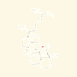 CC(C)CCC[C@@H](C)[C@H]1CC[C@H]2[C@@H]3CCC4CCCC(O)(C5CO5)[C@]4(C)[C@H]3CC[C@]12C